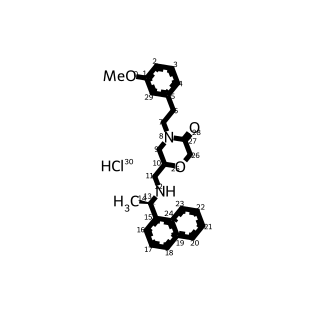 COc1cccc(CCN2CC(CN[C@H](C)c3cccc4ccccc34)OCC2=O)c1.Cl